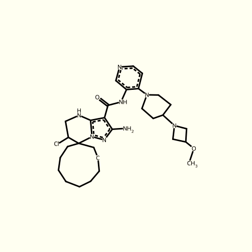 COC1CN(C2CCN(c3ccncc3NC(=O)c3c(N)nn4c3NCC(Cl)C43CCCCCCCCC3)CC2)C1